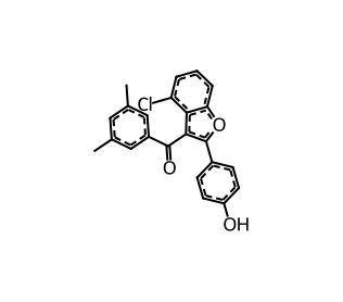 Cc1cc(C)cc(C(=O)c2c(-c3ccc(O)cc3)oc3cccc(Cl)c23)c1